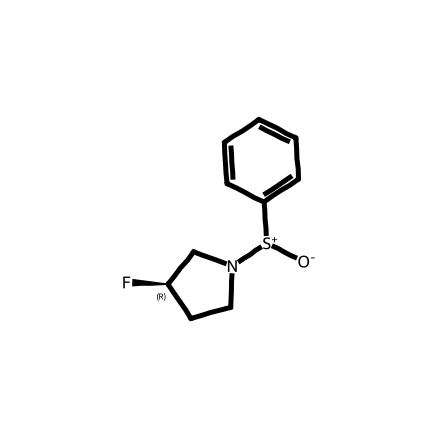 [O-][S+](c1ccccc1)N1CC[C@@H](F)C1